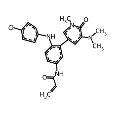 C=CC(=O)Nc1ccc(Nc2ccc(Cl)cc2)c(-c2cc(N(C)C)c(=O)n(C)c2)c1